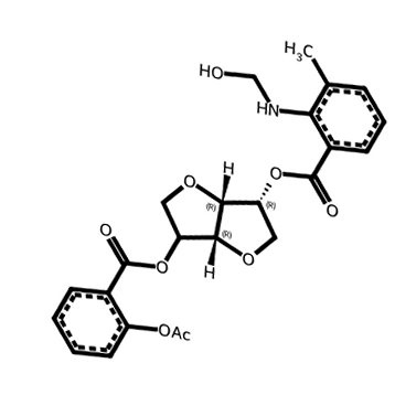 CC(=O)Oc1ccccc1C(=O)OC1CO[C@H]2[C@@H]1OC[C@H]2OC(=O)c1cccc(C)c1NCO